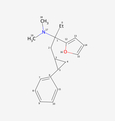 CCC(CC1CC1c1ccccc1)(c1ccco1)N(C)C